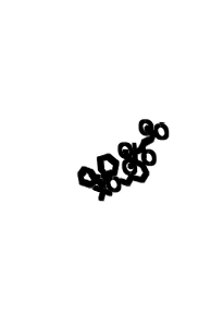 COC(=O)/C=C/C1CC2(CO)OC(CCO[Si](c3ccccc3)(c3ccccc3)C(C)(C)C)CCC2O1